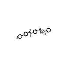 CN1CCC(c2ccc(C(=O)Nc3ccc([C@@H]4C[C@@]4(N)CCc4ccccc4)cc3)cc2)CC1